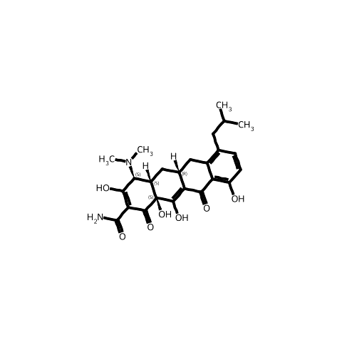 CC(C)Cc1ccc(O)c2c1C[C@H]1C[C@H]3[C@H](N(C)C)C(O)=C(C(N)=O)C(=O)[C@@]3(O)C(O)=C1C2=O